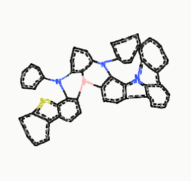 c1ccc(N2c3cccc4c3B(c3ccc5c(sc6ccccc65)c32)c2ccc3c5cccc6c7ccccc7n(c3c2N4c2ccccc2)c65)cc1